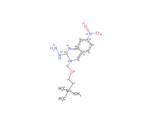 C[Si](C)(C)CCOCN1C=c2ccc([N+](=O)[O-])cc2=NC1NN